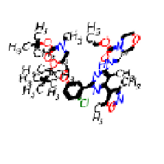 CCOC(=O)N1CCOC[C@@H]1CNc1nc(-c2cc(OC[C@@H](CN(C)C(=O)OC(C)(C)C)O[Si](C)(C)C(C)(C)C)ccc2Cl)nc(-c2c(C)noc2C)c1C